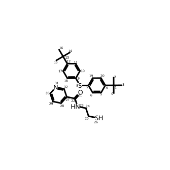 CC(C)(C)c1ccc(Sc2ccc(C(C)(C)C)cc2)cc1.O=C(NCCS)c1cccnc1